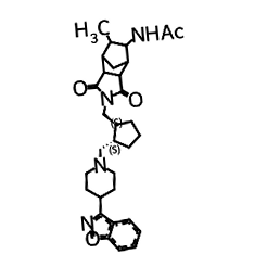 CC(=O)NC1C(C)C2CC1C1C(=O)N(C[C@H]3CCC[C@@H]3CN3CCC(c4noc5ccccc45)CC3)C(=O)C21